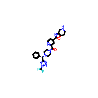 O=C(c1cc(-c2nc3c(o2)CCNC3)ccn1)N1CCN([C@H](c2ccccc2)c2nnn(C(F)F)n2)CC1